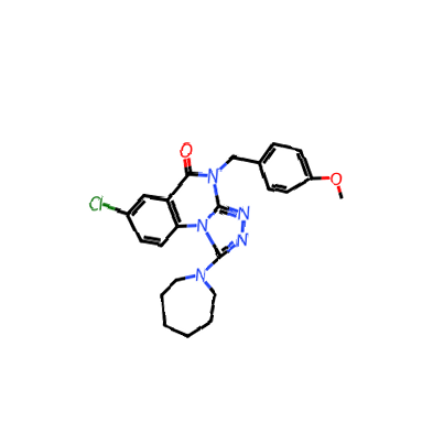 COc1ccc(Cn2c(=O)c3cc(Cl)ccc3n3c(N4CCCCCC4)nnc23)cc1